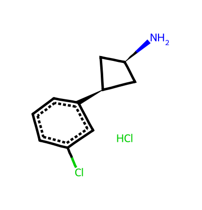 Cl.N[C@H]1C[C@@H](c2cccc(Cl)c2)C1